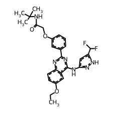 CCOc1ccc2nc(-c3cccc(OCC(=O)NC(C)(C)C)c3)nc(Nc3cc(C(F)F)[nH]n3)c2c1